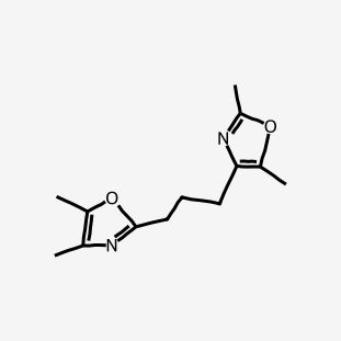 Cc1nc(CCCc2nc(C)c(C)o2)c(C)o1